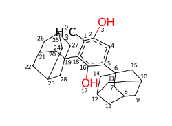 Cc1c(O)cc(C23CC4CC(CC(C4)C2)C3)c(O)c1C12CC3CC(CC(C3)C1)C2